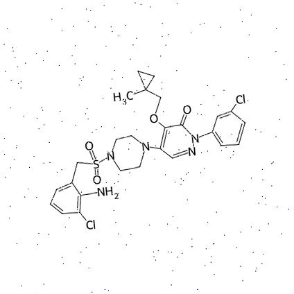 CC1(COc2c(N3CCN(S(=O)(=O)Cc4cccc(Cl)c4N)CC3)cnn(-c3cccc(Cl)c3)c2=O)CC1